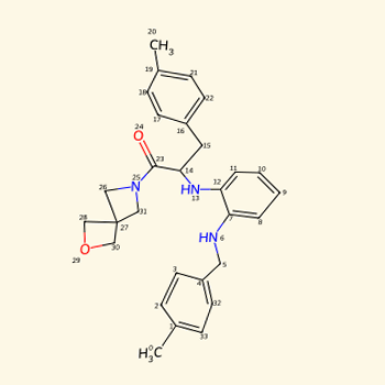 Cc1ccc(CNc2ccccc2NC(Cc2ccc(C)cc2)C(=O)N2CC3(COC3)C2)cc1